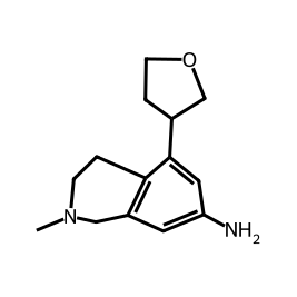 CN1CCc2c(cc(N)cc2C2CCOC2)C1